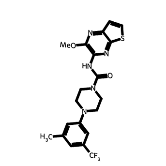 COc1nc2ccsc2nc1NC(=O)N1CCN(c2cc(C)cc(C(F)(F)F)c2)CC1